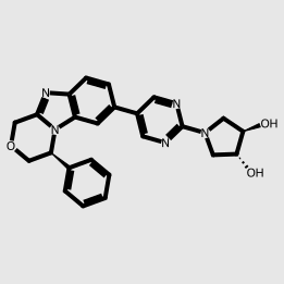 O[C@@H]1CN(c2ncc(-c3ccc4nc5n(c4c3)[C@@H](c3ccccc3)COC5)cn2)C[C@H]1O